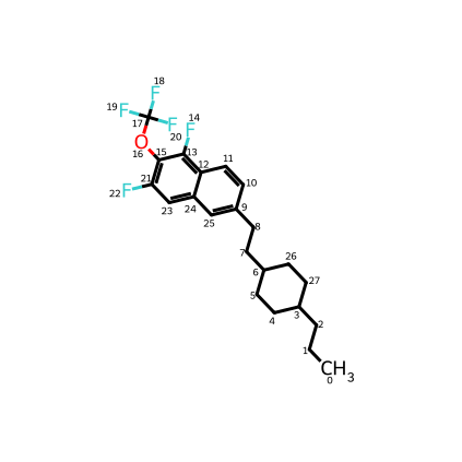 CCCC1CCC(CCc2ccc3c(F)c(OC(F)(F)F)c(F)cc3c2)CC1